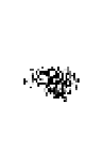 C#C[C@@]1(O[Si](C)(C)C)[C@H](C)C[C@@H]2C([C@@H]1[C@H](O[Si](C)(C)C(C)(C)C)[C@H](C)CC=C)C2(C)C